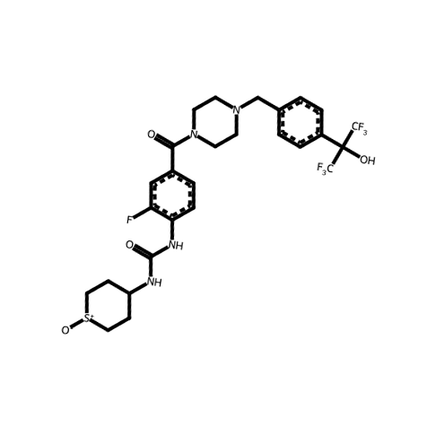 O=C(Nc1ccc(C(=O)N2CCN(Cc3ccc(C(O)(C(F)(F)F)C(F)(F)F)cc3)CC2)cc1F)NC1CC[S+]([O-])CC1